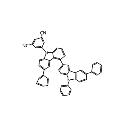 N#Cc1cc(C#N)cc(-n2c3ccc(-c4ccccc4)cc3c3c(-c4ccc5c(c4)c4cc(-c6ccccc6)ccc4n5-c4ccccc4)cccc32)c1